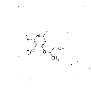 Cc1c(F)cc(F)cc1OC(C)CO